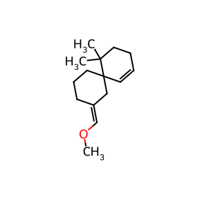 COC=C1CCCC2(C=CCCC2(C)C)C1